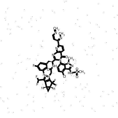 C=N/C=C\C(=N/C)c1ccc2c(=O)n(-c3ccc(Cl)c4c(NS(C)(=O)=O)nn(C)c34)c([C@H](Cc3cc(F)cc(F)c3)NC(=O)Cn3nc(C(F)F)c4c3C(F)(F)[C@@H]3C[C@H]43)nc2n1